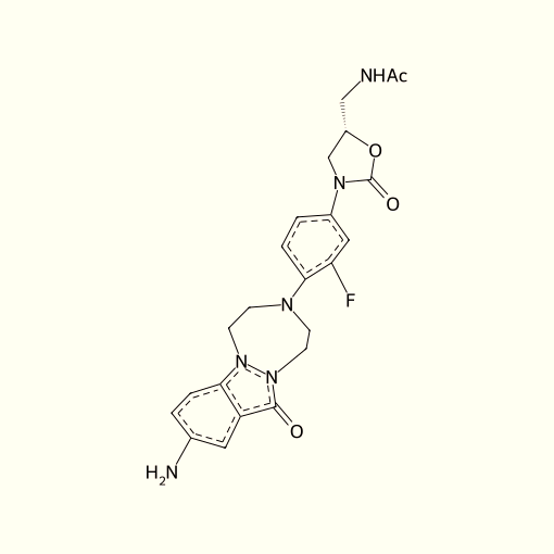 CC(=O)NC[C@H]1CN(c2ccc(N3CCn4c(=O)c5cc(N)ccc5n4CC3)c(F)c2)C(=O)O1